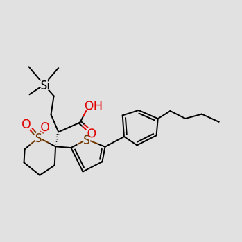 CCCCc1ccc(-c2ccc([C@@]3(C(CC[Si](C)(C)C)C(=O)O)CCCCS3(=O)=O)s2)cc1